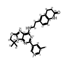 Cc1cncc(-c2nc(NCCc3ccc4c(c3)CCC(=O)N4)c3nc4n(c3n2)C(C)(C)CO4)c1